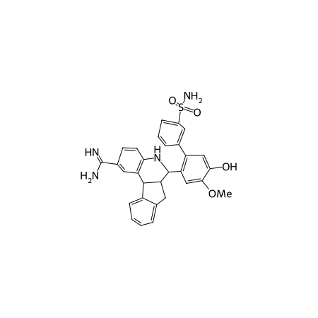 COc1cc(C2Nc3ccc(C(=N)N)cc3C3c4ccccc4CC23)c(-c2cccc(S(N)(=O)=O)c2)cc1O